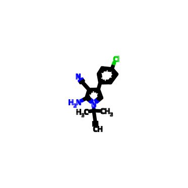 C#CC(C)(C)n1cc(-c2ccc(Cl)cc2)c(C#N)c1N